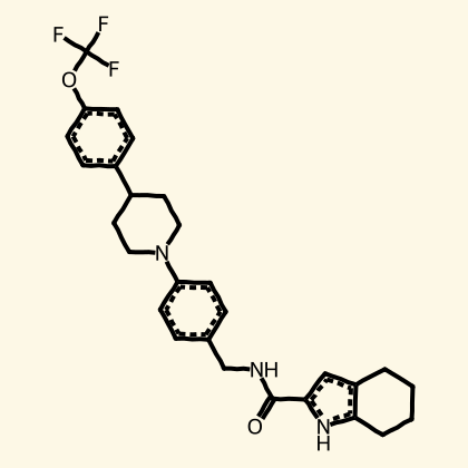 O=C(NCc1ccc(N2CCC(c3ccc(OC(F)(F)F)cc3)CC2)cc1)c1cc2c([nH]1)CCCC2